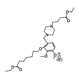 CCOC(=O)CCCCCCOc1c(CN2CCN(CCCC(=O)OCC)CC2)ccc(OC)c1OC.Cl.Cl